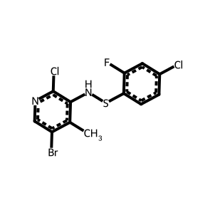 Cc1c(Br)cnc(Cl)c1NSc1ccc(Cl)cc1F